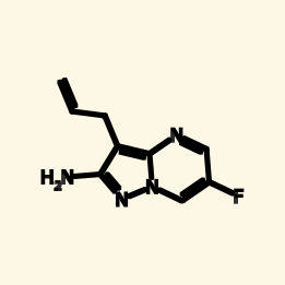 C=CCc1c(N)nn2cc(F)cnc12